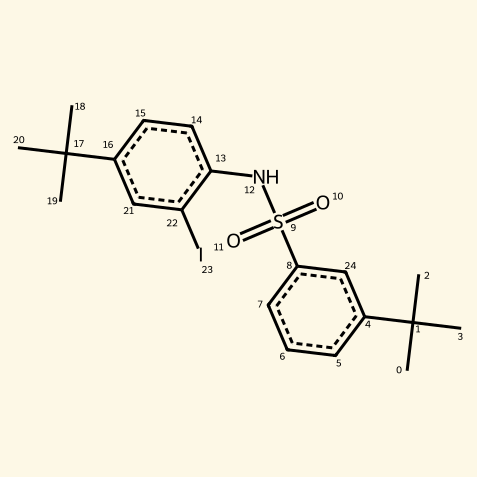 CC(C)(C)c1cccc(S(=O)(=O)Nc2ccc(C(C)(C)C)cc2I)c1